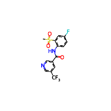 CS(=O)(=O)c1cc(F)ccc1NC(=O)c1cncc(C(F)(F)F)c1